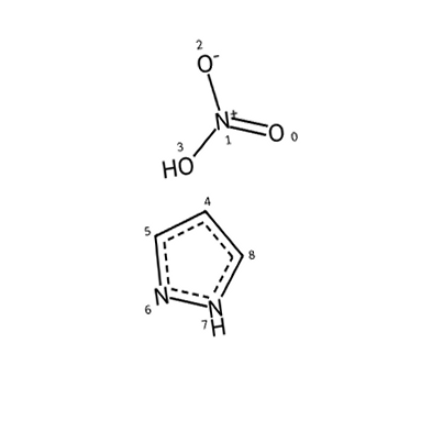 O=[N+]([O-])O.c1cn[nH]c1